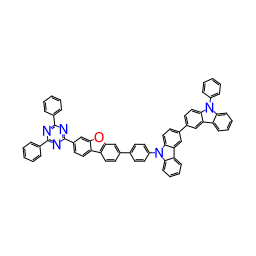 c1ccc(-c2nc(-c3ccccc3)nc(-c3ccc4c(c3)oc3cc(-c5ccc(-n6c7ccccc7c7cc(-c8ccc9c(c8)c8ccccc8n9-c8ccccc8)ccc76)cc5)ccc34)n2)cc1